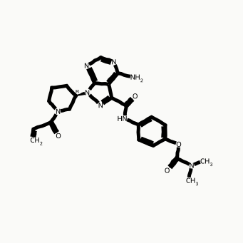 C=CC(=O)N1CCC[C@@H](n2nc(C(=O)Nc3ccc(OC(=O)N(C)C)cc3)c3c(N)ncnc32)C1